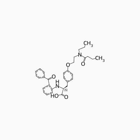 CCCC(=O)N(CCC)CCOc1ccc(C[C@H](Nc2ccccc2C(=O)c2ccccc2)C(=O)O)cc1